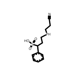 N#CCCPCCC(c1ccccc1)S(=O)(=O)O